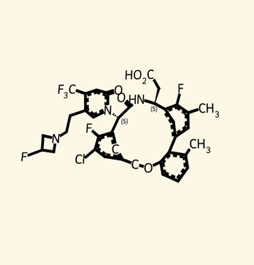 Cc1cc2cc(c1F)[C@H](CC(=O)O)NC(=O)[C@@H](n1cc(CCN3CC(F)C3)c(C(F)(F)F)cc1=O)c1cc(cc(Cl)c1F)COc1cccc(C)c1-2